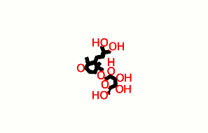 CC1=C(CC=C(CO)CO)C(C)(CO[C@@H]2O[C@H](CO)[C@@H](O)[C@H](O)[C@H]2O)CCC1=O